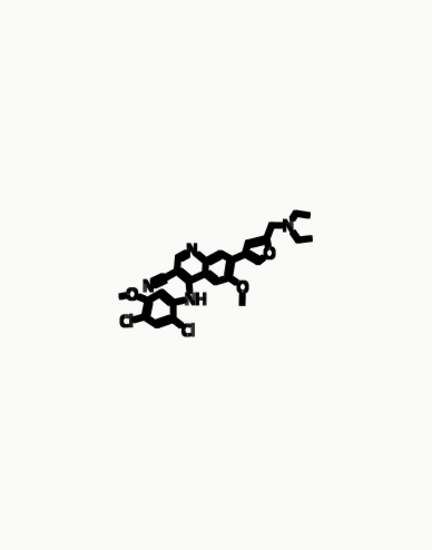 CCN(CC)Cc1cc(-c2cc3ncc(C#N)c(Nc4cc(OC)c(Cl)cc4Cl)c3cc2OC)co1